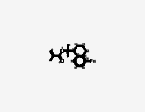 C=C(C)C(=O)OC(C)(C)C1CCCc2c(F)cccc21